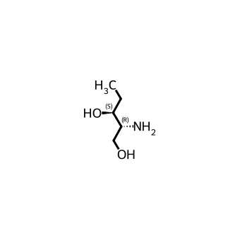 CC[C@H](O)[C@H](N)CO